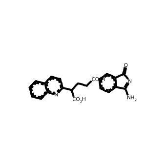 NC1=NC(=O)c2ccccc21.O=C(O)CCC(C(=O)O)c1ccc2ccccc2n1